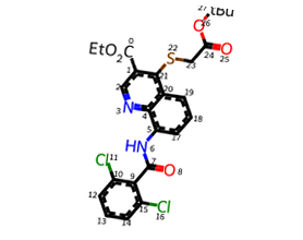 CCOC(=O)c1cnc2c(NC(=O)c3c(Cl)cccc3Cl)cccc2c1SCC(=O)OC(C)(C)C